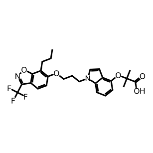 CCCc1c(OCCCn2ccc3c(OC(C)(C)C(=O)O)cccc32)ccc2c(C(F)(F)F)noc12